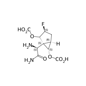 NC(=O)[C@@H](N)[C@@]12C(OC(=O)O)[C@@H](F)C[C@H]1[C@@H]2OC(=O)O